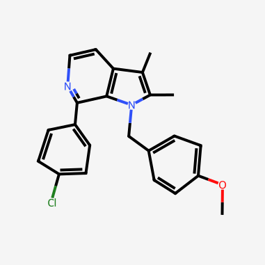 COc1ccc(Cn2c(C)c(C)c3ccnc(-c4ccc(Cl)cc4)c32)cc1